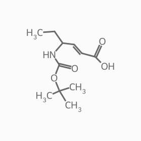 CCC(C=CC(=O)O)NC(=O)OC(C)(C)C